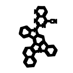 N#Cc1nc(-n2c3ccccc3c3c4c5ccc6ccccc6c5n5c6ccccc6c(cc32)c45)nc2ncccc12